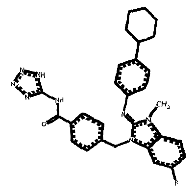 Cn1c(=Nc2ccc(C3CCCCC3)cc2)n(Cc2ccc(C(=O)Nc3nnn[nH]3)cc2)c2cc(F)ccc21